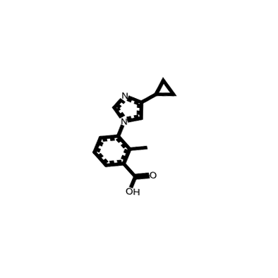 Cc1c(C(=O)O)cccc1-n1cnc(C2CC2)c1